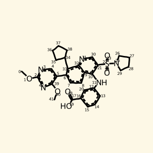 COc1ncc(-c2ccc3c(Nc4cccc(C(=O)O)c4)c(S(=O)(=O)N4CCCC4)cnc3c2C2CCCC2)c(OC)n1